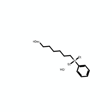 CCCCCCCCCCCCCCCC[N+](CC)(CC)c1ccccc1.[OH-]